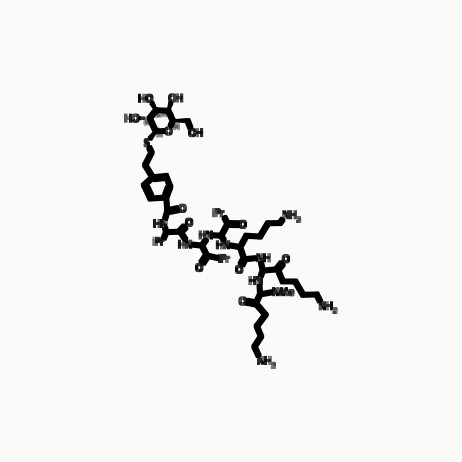 CNC(NC(NC(=O)C(CCCCN)NC(NC(NC(=O)C(NC(=O)c1ccc(CCS[C@@H]2O[C@H](CO)[C@H](O)[C@H](O)[C@H]2O)cc1)C(C)C)C(=O)C(C)C)C(=O)C(C)C)C(=O)CCCCN)C(=O)CCCCN